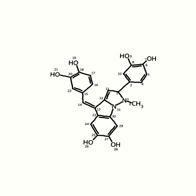 CN1C(c2ccc(O)c(O)c2)C=c2/c(=C\c3ccc(O)c(O)c3)c3cc(O)c(O)cc3n21